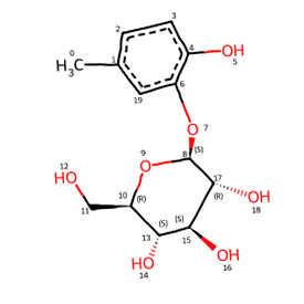 Cc1ccc(O)c(O[C@@H]2O[C@H](CO)[C@@H](O)[C@H](O)[C@H]2O)c1